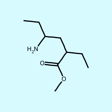 CCC(N)CC(CC)C(=O)OC